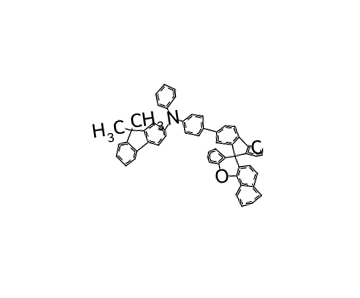 CC1(C)c2ccccc2-c2ccc(N(c3ccccc3)c3ccc(-c4ccc5c(c4)C4(c6ccccc6Oc6c4ccc4ccccc64)c4ccccc4-5)cc3)cc21